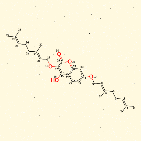 CC(C)=CCC/C(C)=C/COc1ccc2c(O)c(OC/C=C(\C)CCC=C(C)C)c(=O)oc2c1